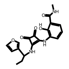 CCC(Nc1c(Nc2cccc(C(=O)NC)c2O)c(=O)c1=O)c1ccoc1